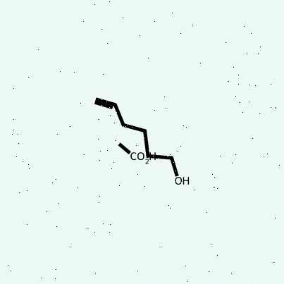 C=CCCCCO.CC(=O)O